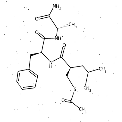 CC(=O)SC[C@H](CC(C)C)C(=O)N[C@@H](Cc1ccccc1)C(=O)N[C@@H](C)C(N)=O